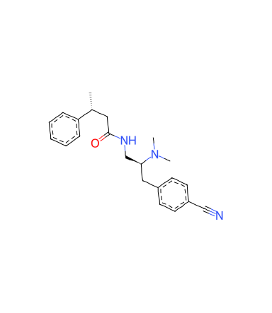 C[C@H](CC(=O)NC[C@H](Cc1ccc(C#N)cc1)N(C)C)c1ccccc1